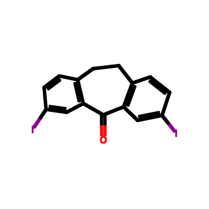 O=C1c2cc(I)ccc2CCc2ccc(I)cc21